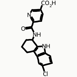 O=C(O)c1ccc(C(=O)NC2CCCc3c2[nH]c2ccc(Cl)cc32)nc1